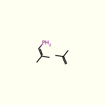 C=C(C)C.CC(C)=CP